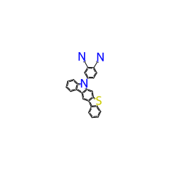 N#Cc1ccc(-n2c3ccccc3c3cc4c(cc32)sc2ccccc24)cc1C#N